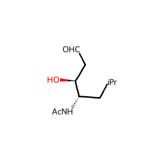 CC(=O)N[C@@H](CC(C)C)[C@@H](O)CC=O